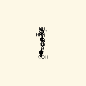 Nc1ccc2nc(-c3ccc(N4CCC(OCC56CCC(C(=O)O)(CC5)CC6)CC4)nc3)[nH]c2n1